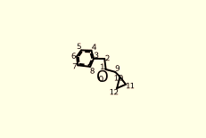 O=C(Cc1ccccc1)CC1CC1